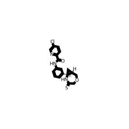 O=C(Nc1cccc([C@]23C[C@H]2COCC(=S)N3)c1)c1ccc(Cl)cn1